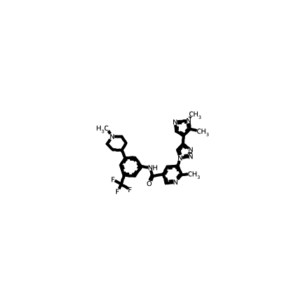 Cc1ncc(C(=O)Nc2cc(C3CCN(C)CC3)cc(C(F)(F)F)c2)cc1-n1cc(-c2cnn(C)c2C)nn1